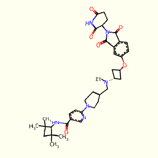 CCN(CC1CCN(c2ccc(C(=O)NC3C(C)(C)CC3(C)C)cn2)CC1)[C@H]1C[C@H](Oc2ccc3c(c2)C(=O)N(C2CCC(=O)NC2=O)C3=O)C1